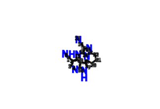 N#Cc1cnc2[nH]ccc2c1Nc1c(C#N)nc2n1CCCC2